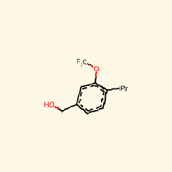 CC(C)c1ccc([CH]O)cc1OC(F)(F)F